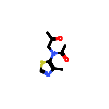 CC(=O)CN(C(C)=O)c1scnc1C